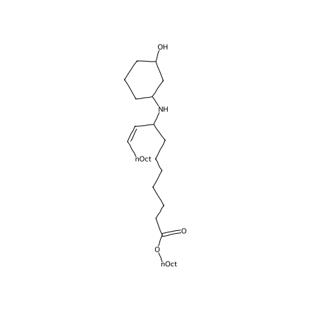 CCCCCCCC/C=C\C(CCCCCCC(=O)OCCCCCCCC)NC1CCCC(O)C1